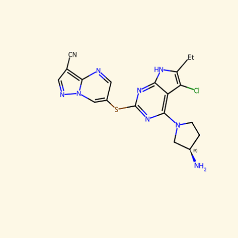 CCc1[nH]c2nc(Sc3cnc4c(C#N)cnn4c3)nc(N3CC[C@@H](N)C3)c2c1Cl